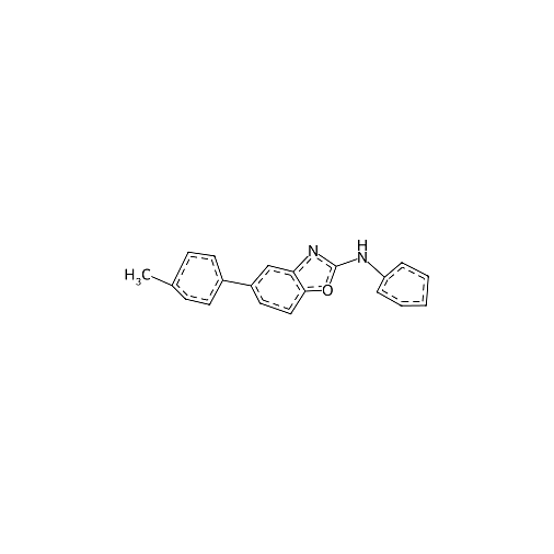 Cc1ccc(-c2ccc3oc(Nc4ccccc4)nc3c2)cc1